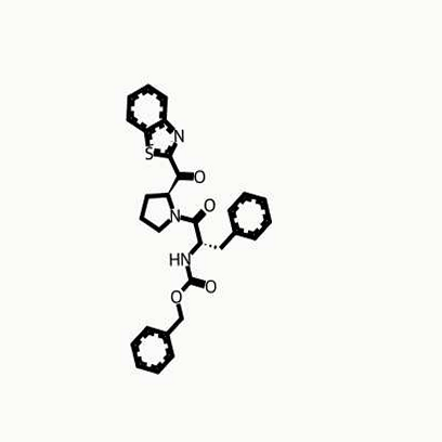 O=C(N[C@@H](Cc1ccccc1)C(=O)N1CCC[C@H]1C(=O)c1nc2ccccc2s1)OCc1ccccc1